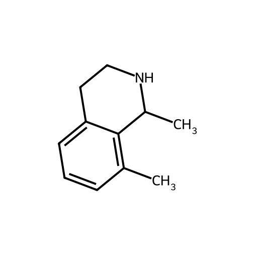 Cc1cccc2c1C(C)NCC2